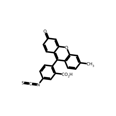 Cc1ccc2c(-c3ccc(N=C=S)cc3C(=O)O)c3ccc(=O)cc-3oc2c1